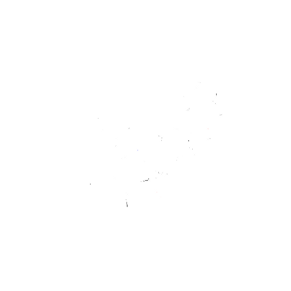 COC(=O)[C@H]1[C@@H](C(=O)O)[C@H](C(=O)O)[C@@H]1C(=O)N(Cc1ccccc1)Cc1ccc(Oc2ccccc2)cc1